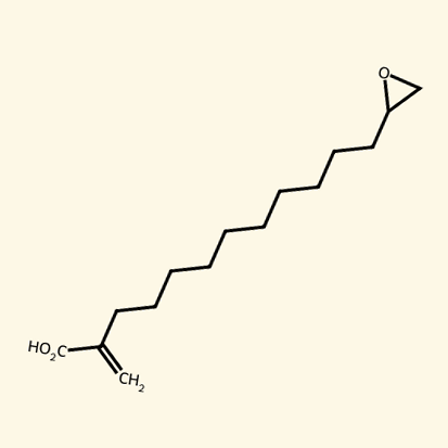 C=C(CCCCCCCCCCC1CO1)C(=O)O